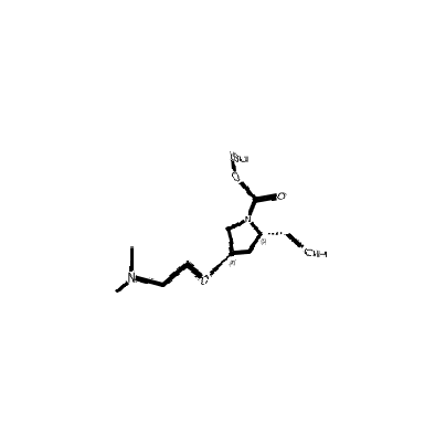 CN(C)CCO[C@@H]1C[C@@H](CO)N(C(=O)OC(C)(C)C)C1